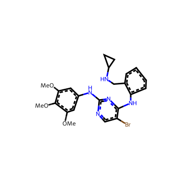 COc1cc(Nc2ncc(Br)c(Nc3ccccc3CNC3CC3)n2)cc(OC)c1OC